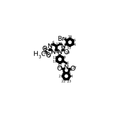 CS(=O)(=O)c1ncc2c(n1)N(c1cccc(CN3C(=O)c4ccccc4C3=O)c1)C(=O)N(c1ccccc1Br)C2